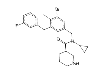 Cc1c(Br)cc(CN(C(=O)[C@@H]2CCCNC2)C2CC2)cc1Cc1cccc(F)c1